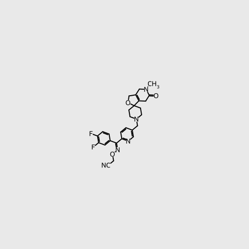 CN1CC2=C(CC1=O)C1(CCN(Cc3ccc(C(=NOCC#N)c4ccc(F)c(F)c4)nc3)CC1)OC2